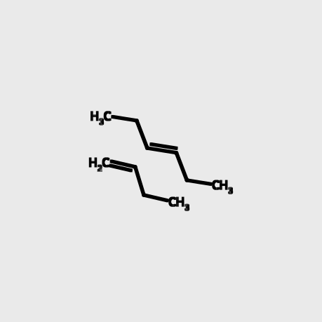 C=CCC.CCC=CCC